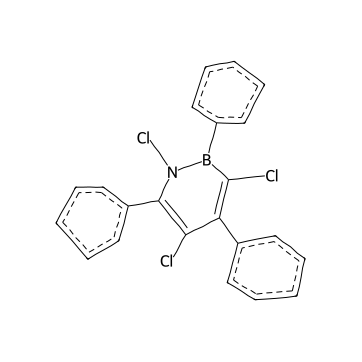 ClC1=C(c2ccccc2)C(Cl)=C(c2ccccc2)N(Cl)B1c1ccccc1